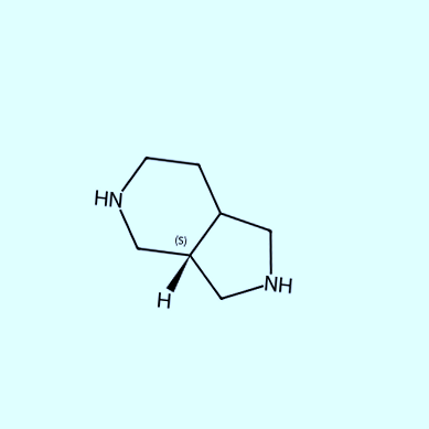 C1CC2CNC[C@@H]2CN1